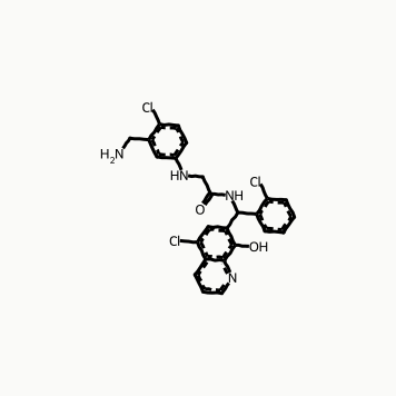 NCc1cc(NCC(=O)NC(c2ccccc2Cl)c2cc(Cl)c3cccnc3c2O)ccc1Cl